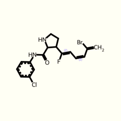 C=C(Br)/C=C\C=C(/F)C1CCNC1C(=O)Nc1cccc(Cl)c1